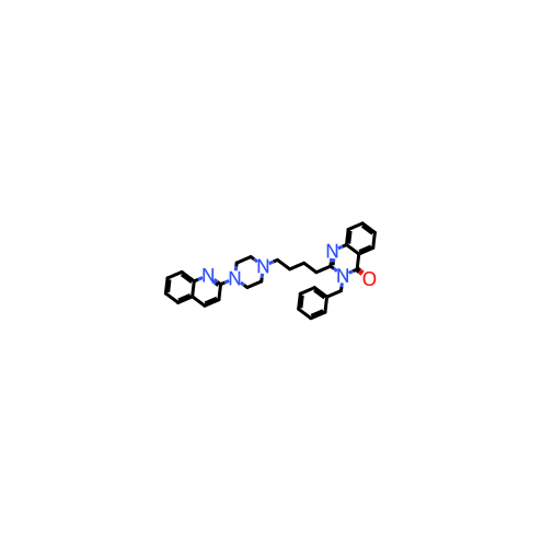 O=c1c2ccccc2nc(CCCCN2CCN(c3ccc4ccccc4n3)CC2)n1Cc1ccccc1